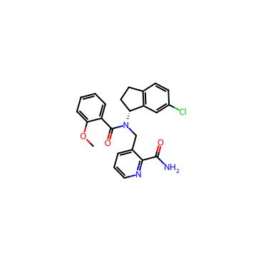 COc1ccccc1C(=O)N(Cc1cccnc1C(N)=O)[C@@H]1CCc2ccc(Cl)cc21